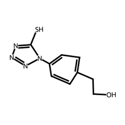 OCCc1ccc(-n2nnnc2S)cc1